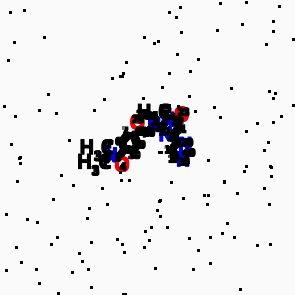 CN(C)C(=O)c1ccc([C@H]2CN(c3nc(-c4ccncn4)cc(=O)n3C)CCO2)cc1